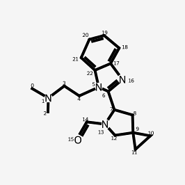 CN(C)CCn1c(C2CC3(CC3)CN2C=O)nc2ccccc21